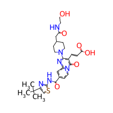 CC(C)(C)c1csc(NC(=O)c2ccn3c(=O)c(C=CC(=O)O)c(N4CCC(CC(=O)NCCO)CC4)nc3c2)n1